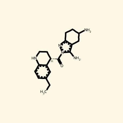 CCc1ccc2c(c1)[C@@H](C(=O)n1nc3c(c1N)CC(N)CC3)CCN2